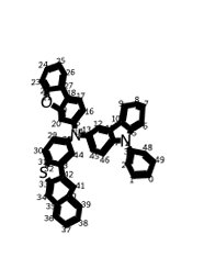 c1ccc(-n2c3ccccc3c3cc(N(c4ccc5c(c4)oc4ccccc45)c4ccc5sc6cc7ccccc7cc6c5c4)ccc32)cc1